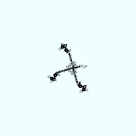 CN1Cc2c(Cl)cc(Cl)cc2C(c2ccc3c(c2)C(=O)N(CCOCCOCCNC(=O)NCCC(CCNC(=O)NCCOCCOCCN2Cc4ccc(C5CN(C)Cc6c(Cl)cc(Cl)cc65)cc4C2=O)(CCNC(=O)NCCOCCOCCN2Cc4ccc(C5CN(C)Cc6c(Cl)cc(Cl)cc65)cc4C2=O)NC(=O)COCC(=O)O)C3)C1